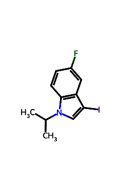 CC(C)n1cc(I)c2cc(F)ccc21